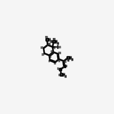 CO/N=C(/C)c1ccc2c(c1)C(C)(I)C(C)CC2